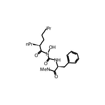 CCC[C@@H](CCC(C)C)C(=O)N(O)C(=O)N[C@@H](Cc1ccccc1)C(=O)NC